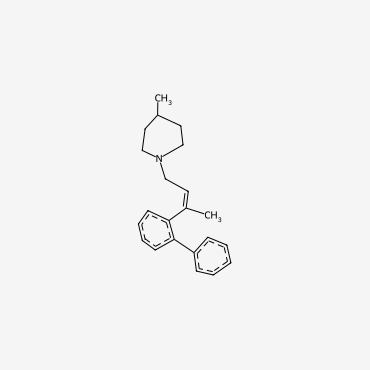 CC(=CCN1CCC(C)CC1)c1ccccc1-c1ccccc1